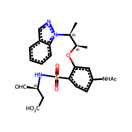 CC(=O)Nc1ccc(S(=O)(=O)N[C@H](C=O)CC(=O)O)c(O[C@H](C)[C@H](C)n2ncc3ccccc32)c1